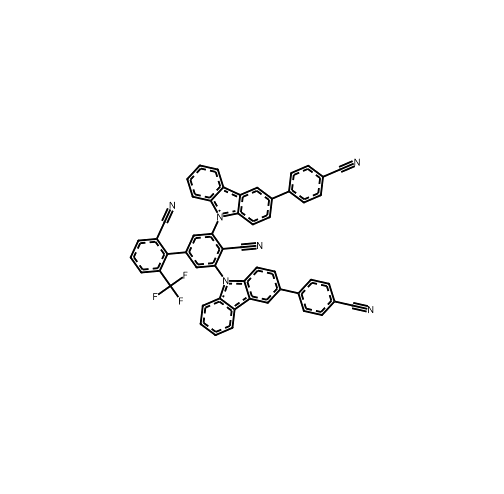 N#Cc1ccc(-c2ccc3c(c2)c2ccccc2n3-c2cc(-c3c(C#N)cccc3C(F)(F)F)cc(-n3c4ccccc4c4cc(-c5ccc(C#N)cc5)ccc43)c2C#N)cc1